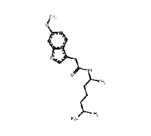 COc1ccc2c(CC(=O)NC(C)CCCC(C)C)coc2c1